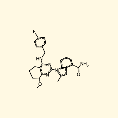 COC1CCCc2c(NCc3ccc(F)cc3)nc(-n3c(C)cc4c(C(N)=O)cccc43)nc21